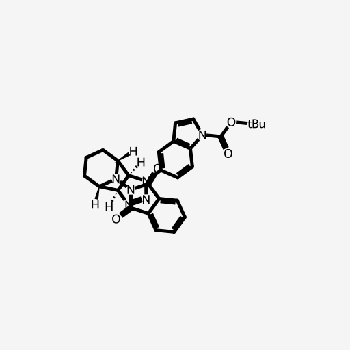 CC(C)(C)OC(=O)n1ccc2cc(N3N=N[C@@H]4[C@H]3[C@H]3CCC[C@@H]4N3N3C(=O)c4ccccc4C3=O)ccc21